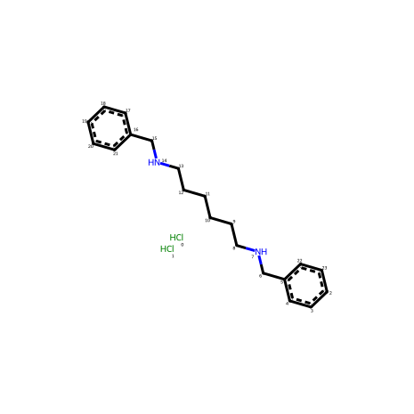 Cl.Cl.c1ccc(CNCCCCCCNCc2ccccc2)cc1